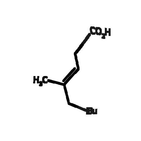 CCC(C)CC(C)=CCC(=O)O